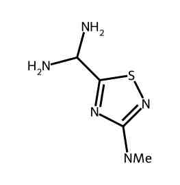 CNc1nsc(C(N)N)n1